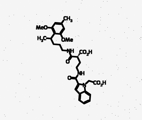 COc1cc(C)cc(OC)c1C(C)CCCNC(=O)[C@@H](CCNC(=O)c1cc2ccccc2n1CC(=O)O)C(=O)O